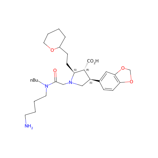 CCCCN(CCCCN)C(=O)CN1C[C@H](c2ccc3c(c2)OCO3)[C@@H](C(=O)O)[C@@H]1CCC1CCCCO1